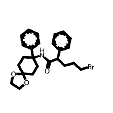 O=C(NC1(c2ccccc2)CCC2(CC1)OCCO2)C(CCCBr)c1ccccc1